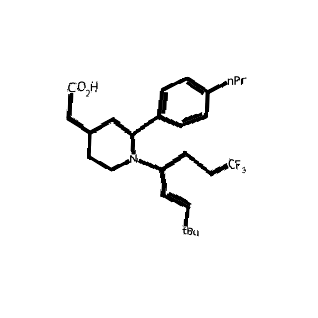 CCCc1ccc(C2CC(CC(=O)O)CCN2C(C=CC(C)(C)C)CCC(F)(F)F)cc1